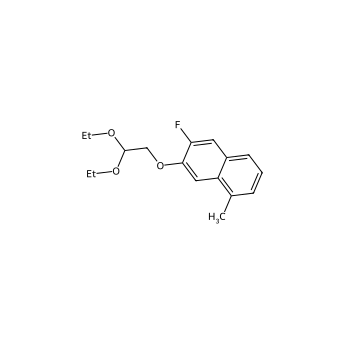 CCOC(COc1cc2c(C)cccc2cc1F)OCC